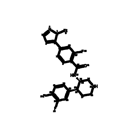 CCn1nccc1-c1ccc(C(=O)N[C@@H]2CNCC[C@H]2c2ccc(F)c(F)c2)c(F)c1